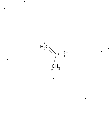 C=CC.[KH]